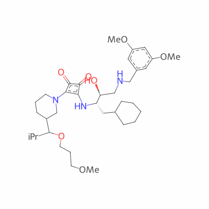 COCCCOC(C(C)C)C1CCCN(c2c(N[C@@H](CC3CCCCC3)[C@@H](O)CNCc3cc(OC)cc(OC)c3)c(=O)c2=O)C1